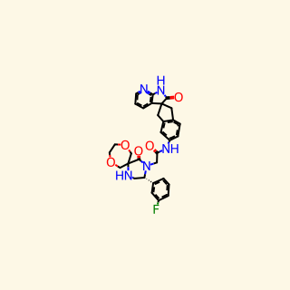 O=C(CN1C(=O)C2(COCCOC2)NC[C@H]1c1cccc(F)c1)Nc1ccc2c(c1)CC1(C2)C(=O)Nc2ncccc21